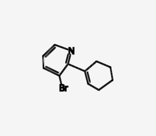 Brc1cccnc1C1=CCCCC1